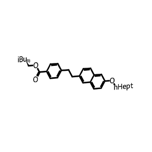 CCCCCCCOc1ccc2cc(CCc3ccc(C(=O)OC[C@H](C)CC)cc3)ccc2c1